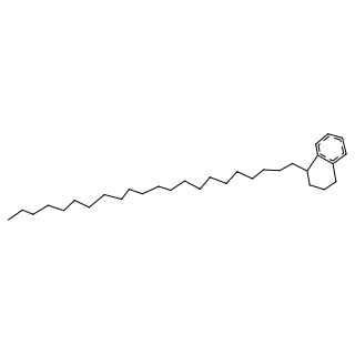 CCCCCCCCCCCCCCCCCCCCCCC1CCCc2ccccc21